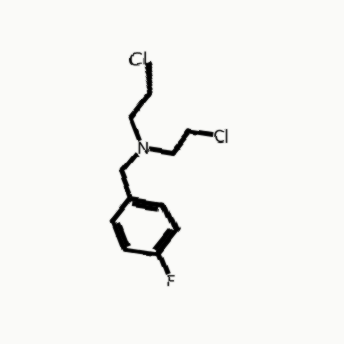 Fc1ccc(CN(CCCl)CCCl)cc1